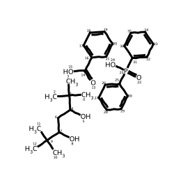 CC(C)(C)C(O)CC(O)C(C)(C)C.O=C(O)c1ccccc1.O=P(O)(c1ccccc1)c1ccccc1